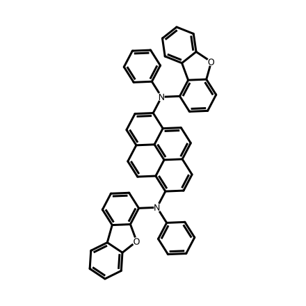 c1ccc(N(c2ccc3ccc4c(N(c5ccccc5)c5cccc6oc7ccccc7c56)ccc5ccc2c3c54)c2cccc3c2oc2ccccc23)cc1